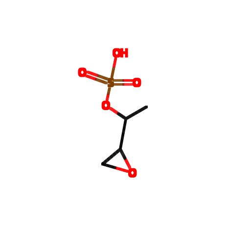 CC(OS(=O)(=O)O)C1CO1